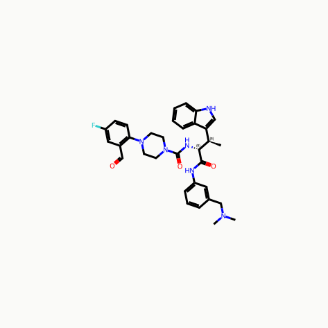 C[C@H](c1c[nH]c2ccccc12)[C@@H](NC(=O)N1CCN(c2ccc(F)cc2C=O)CC1)C(=O)Nc1cccc(CN(C)C)c1